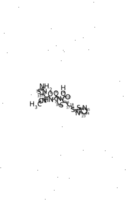 CON=C(C(=O)NC1C(=O)N2C(C(=O)O)=C(/C=C/CSc3nc4cccnc4s3)SCC12)c1csc(N)n1